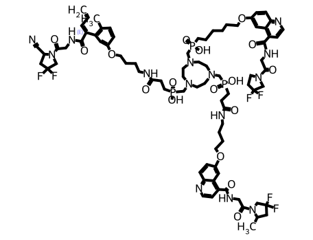 C=C/C=C(/C(=O)NCC(=O)N1CC(F)(F)CC1C#N)c1cc(OCCCCNC(=O)CCP(=O)(O)CN2CCN(CP(=O)(O)CCCCCCOc3ccc4nccc(C(=O)NCC(=O)N5CCC(F)(F)C5)c4c3)CCN(CP(=O)(O)CCC(=O)NCCCCOc3ccc4nccc(C(=O)NCC(=O)N5CC(F)(F)CC5C)c4c3)CC2)ccc1C